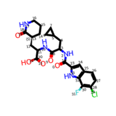 O=C(NC(CC1CC1)C(=O)NC(C[C@@H]1CCCNC1=O)C(=O)O)c1cc2ccc(Cl)c(F)c2[nH]1